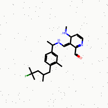 CNC1C=CN=C(C=O)/C1=C/NC(C)c1ccc(CC(C)CC(C)(C)F)c(C)c1